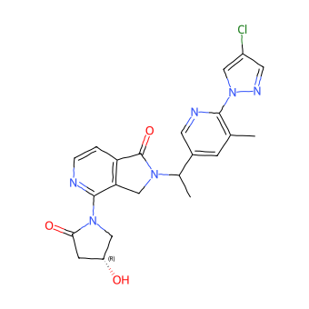 Cc1cc(C(C)N2Cc3c(ccnc3N3C[C@H](O)CC3=O)C2=O)cnc1-n1cc(Cl)cn1